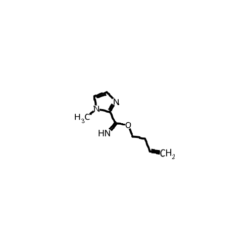 C=CCCOC(=N)c1nccn1C